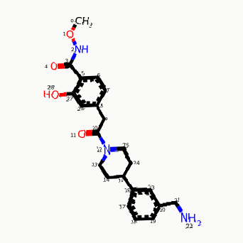 CONC(=O)c1ccc(CC(=O)N2CCC(c3cccc(CN)c3)CC2)cc1O